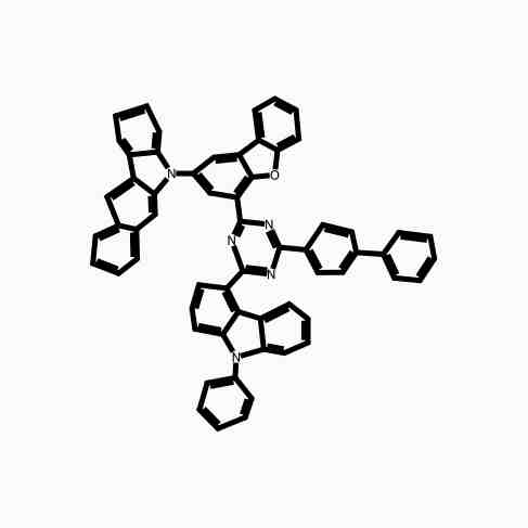 c1ccc(-c2ccc(-c3nc(-c4cc(-n5c6ccccc6c6cc7ccccc7cc65)cc5c4oc4ccccc45)nc(-c4cccc5c4c4ccccc4n5-c4ccccc4)n3)cc2)cc1